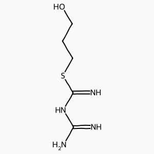 N=C(N)NC(=N)SCCCO